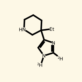 [2H]c1nc(C2(CC)CCCNC2)cn1[2H]